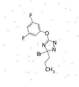 CCCC1(Br)N=NC(Oc2cc(F)cc(F)c2)=N1